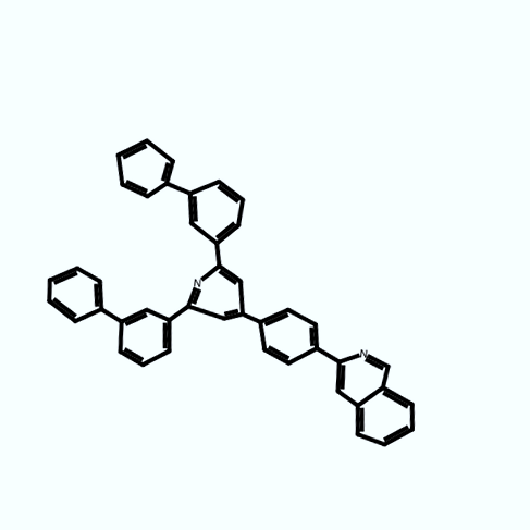 c1ccc(-c2cccc(-c3cc(-c4ccc(-c5cc6ccccc6cn5)cc4)cc(-c4cccc(-c5ccccc5)c4)n3)c2)cc1